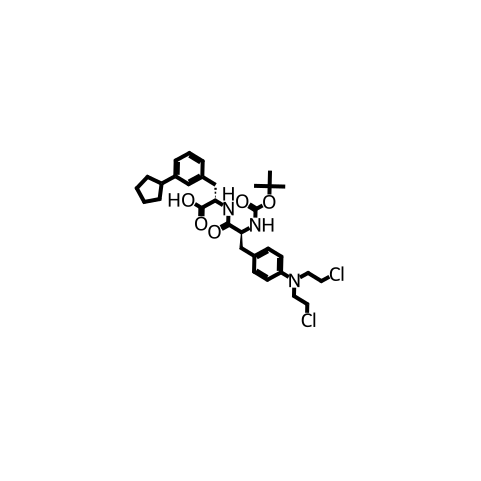 CC(C)(C)OC(=O)N[C@@H](Cc1ccc(N(CCCl)CCCl)cc1)C(=O)N[C@@H](Cc1cccc(C2CCCC2)c1)C(=O)O